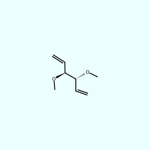 C=C[C@H](OC)[C@@H](C=C)OC